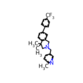 Cc1ccc(CN2Cc3cc(-c4ccc(C(F)(F)F)cc4)ccc3C(C)(C)C2)cn1